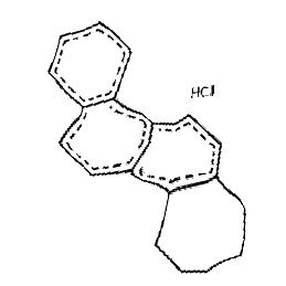 Cl.c1ccc2c(c1)ccc1c3c(ccc12)CCCC3